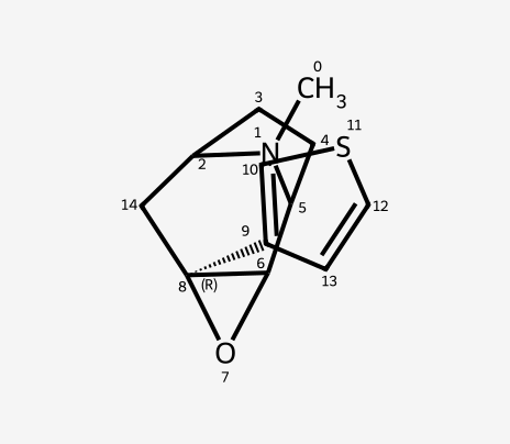 CN1C2CCC1C1O[C@@]1(c1[c]scc1)C2